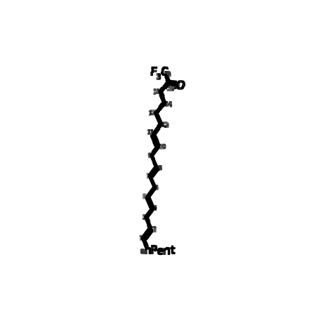 CCCCCC=CCC=CCC=CCC=CCCCCC(=O)C(F)(F)F